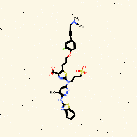 Cc1cc(N(CCCS(=O)(=O)O)c2nc(C(=O)O)c(CCCOc3ccc(C#CCN(C)C)cc3F)s2)nnc1Nc1nc2ccccc2s1